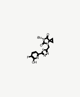 CC[C@@H](C)N1C(=O)N(Cc2nnc(-c3ccc(F)c(O)n3)s2)C2(CC2)C1=O